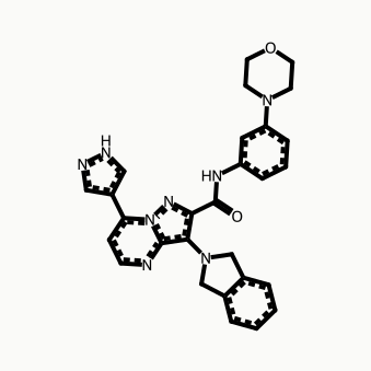 O=C(Nc1cccc(N2CCOCC2)c1)c1nn2c(-c3cn[nH]c3)ccnc2c1N1Cc2ccccc2C1